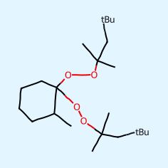 CC1CCCCC1(OOC(C)(C)CC(C)(C)C)OOC(C)(C)CC(C)(C)C